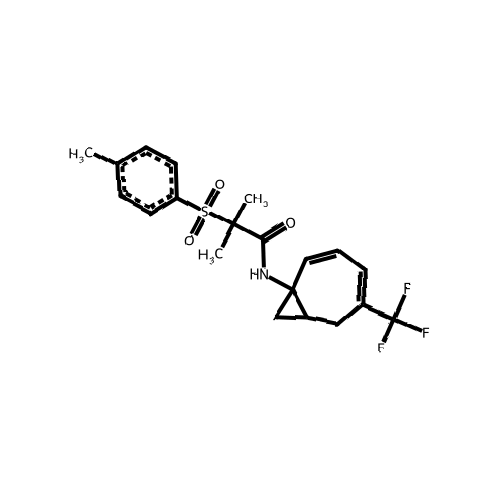 Cc1ccc(S(=O)(=O)C(C)(C)C(=O)NC23C=CC=C(C(F)(F)F)CC2C3)cc1